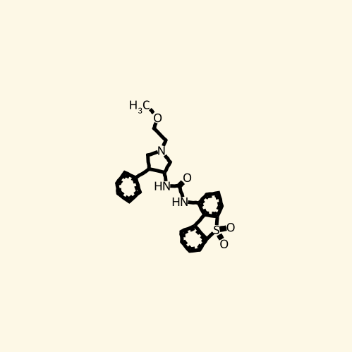 COCCN1CC(NC(=O)Nc2cccc3c2-c2ccccc2S3(=O)=O)C(c2ccccc2)C1